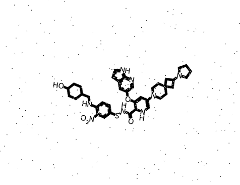 O=C(NSc1ccc(NCC2CCC(O)CC2)c([N+](=O)[O-])c1)C1NC=C(N2CCC3(CC2)CC(N2CCCC2)C3)C=C1Oc1cnc2[nH]ccc2c1